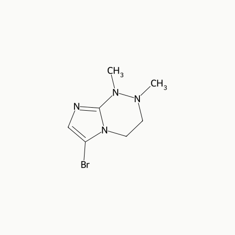 CN1CCn2c(Br)cnc2N1C